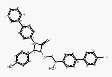 O=C1[C@H](SC[C@@H](O)c2ccc(-c3ccc(F)cc3)cc2)[C@@H](c2ccc(O)cc2)N1c1ccc(-c2cccnc2)cc1